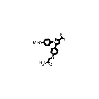 COc1ccc(-n2nc(C(F)F)cc2-c2ccc(OCC(N)=O)cc2)cc1